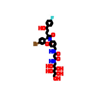 O=C(CC(=O)NC[C@H](O)[C@@H](O)[C@H](O)[C@H](O)CO)NCc1ccc(N2C(=O)[C@H](CC[C@H](O)c3ccc(F)cc3)[C@H]2c2ccc(Br)cc2O)cc1